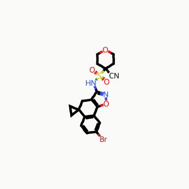 N#CC1(S(=O)(=O)Nc2noc3c2CC2(CC2)c2ccc(Br)cc2-3)CCOCC1